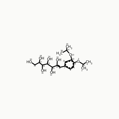 CC(C)Oc1ccc(C=C(O)C(O)C(O)C(O)C(O)CO)cc1OC(C)C